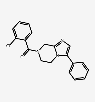 O=C(c1ccccc1Cl)N1CCn2c(-c3ccccc3)cnc2C1